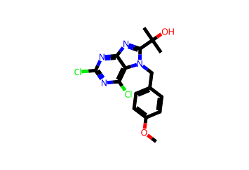 COc1ccc(Cn2c(C(C)(C)O)nc3nc(Cl)nc(Cl)c32)cc1